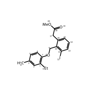 CCc1cc(C)ccc1OCc1c(I)cccc1CC(=O)OC